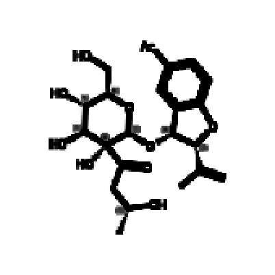 C=C(C)[C@H]1Oc2ccc(C(C)=O)cc2[C@H]1O[C@@H]1O[C@H](CO)[C@@H](O)[C@H](O)[C@]1(O)C(=O)C[C@@H](C)O